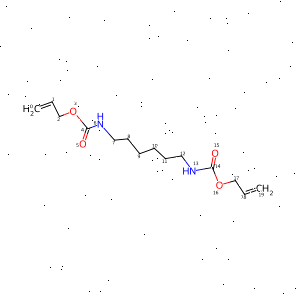 C=CCOC(=O)NCCCCCCNC(=O)OCC=C